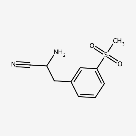 CS(=O)(=O)c1cccc(CC(N)C#N)c1